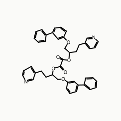 O=C(OC(CCc1cccnc1)COc1cccc(-c2ccccc2)c1)C(=O)OC(CCc1cccnc1)COc1cccc(-c2ccccc2)c1